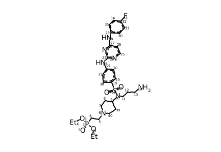 CCOP(=O)(CCN1CCC(N(CCCN)S(=O)(=O)c2ccc(Nc3nccc(Nc4ccc(F)cc4)n3)cc2)CC1)OCC